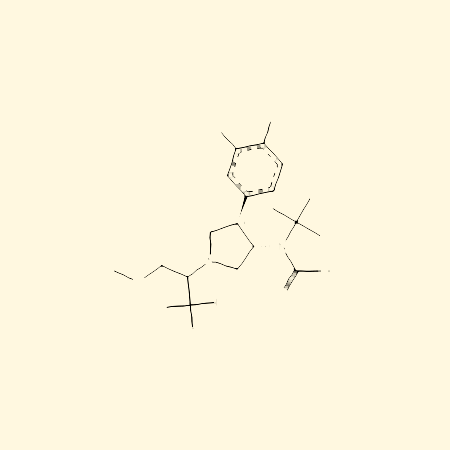 COCC(N1C[C@@H](N(C(=O)O)C(C)(C)C)[C@H](c2ccc(F)c(F)c2)C1)C(F)(F)F